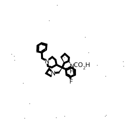 O=C(O)N[C@H]1CCC[C@@H]1[C@](CN1CCC1)(c1cccc(F)c1)C1CCN(Cc2ccccc2)CC1